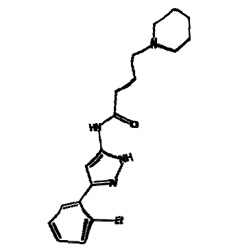 CCc1ccccc1-c1cc(NC(=O)CCCN2CCCCC2)[nH]n1